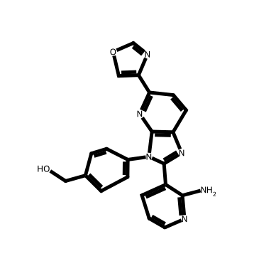 Nc1ncccc1-c1nc2ccc(-c3cocn3)nc2n1-c1ccc(CO)cc1